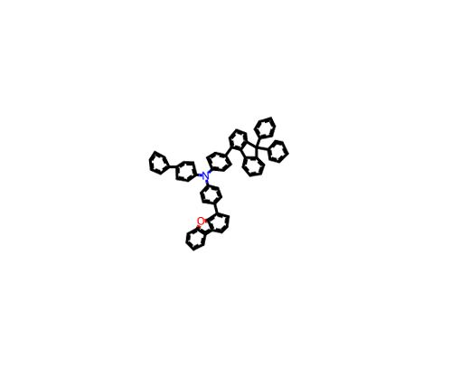 c1ccc(-c2ccc(N(c3ccc(-c4cccc5c4-c4ccccc4C5(c4ccccc4)c4ccccc4)cc3)c3ccc(-c4cccc5c4oc4ccccc45)cc3)cc2)cc1